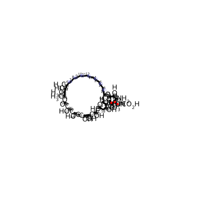 C[C@@H]1[C@H](O)[C@@H](C)/C=C/C=C/C=C/C=C/C=C/C=C/C=C/[C@H](O[C@@H]2O[C@H](C)[C@@H](O)[C@H](N)[C@@H]2O)C[C@@H]2O[C@](O)(C[C@@H](O)C[C@@H](O)[C@H](O)CC[C@@H](O)C[C@@H](O)CC(=O)O[C@H]1C)C[C@H](O)[C@H]2NC(=O)NOCC(=O)O